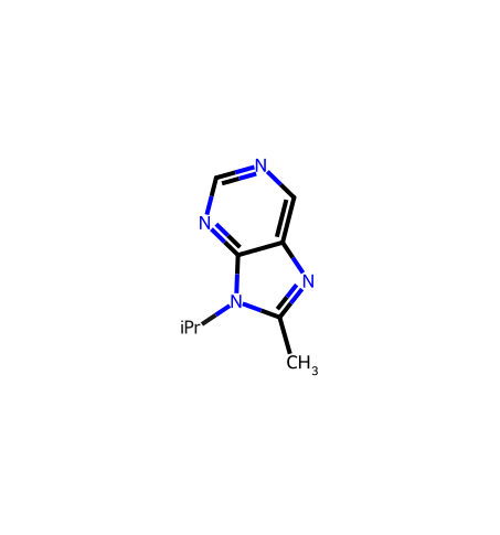 Cc1nc2cncnc2n1C(C)C